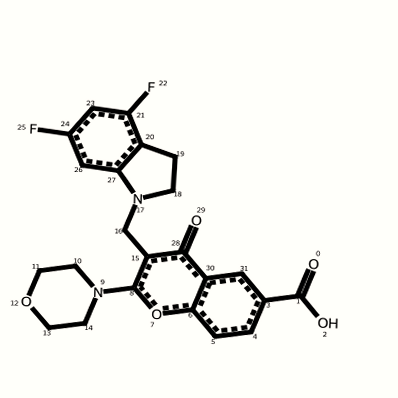 O=C(O)c1ccc2oc(N3CCOCC3)c(CN3CCc4c(F)cc(F)cc43)c(=O)c2c1